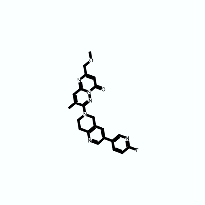 COCc1cc(=O)n2nc(N3CCc4ncc(-c5ccc(F)nc5)cc4C3)c(C)cc2n1